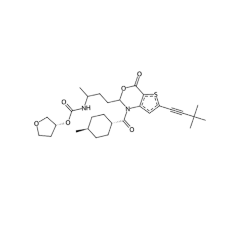 CC(CCC1OC(=O)c2sc(C#CC(C)(C)C)cc2N1C(=O)[C@H]1CC[C@H](C)CC1)NC(=O)O[C@@H]1CCOC1